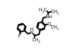 COc1cc(CC(C)NCc2ccccc2F)ccc1CNC(C)C